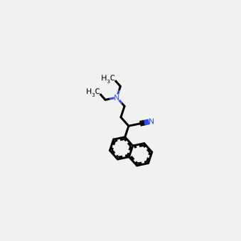 CCN(CC)CCC(C#N)c1cccc2ccccc12